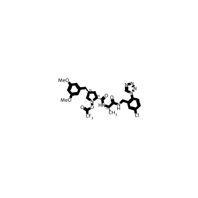 COc1cc(C[C@H]2C[C@H](C(=O)N[C@@H](C)C(=O)NCc3cc(Cl)ccc3-n3cnnn3)N(OC(=O)C(F)(F)F)C2)cc(OC)c1